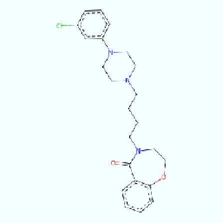 O=C1c2ccccc2OCCN1CCCCN1CCN(c2cccc(Cl)c2)CC1